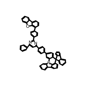 c1ccc(-c2cc(-c3ccc(-c4ccc5c(c4)-n4c6ccccc6c6cccc(c64)C54c5ccccc5-c5ccccc54)cc3)nc(-c3ccc(-c4cccc5c4oc4ccccc45)cc3)n2)cc1